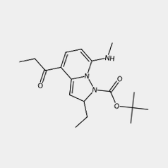 CCC(=O)C1=CC=C(NC)N2C1=CC(CC)N2C(=O)OC(C)(C)C